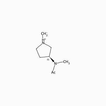 [CH2-][NH+]1CC[C@H](N(C)C(C)=O)C1